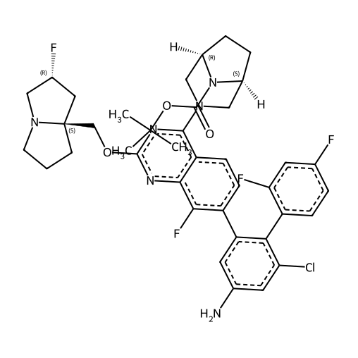 CC(C)(C)OC(=O)N1[C@@H]2CC[C@H]1CN(c1nc(OC[C@@]34CCCN3C[C@H](F)C4)nc3c(F)c(-c4cc(N)cc(Cl)c4-c4ccc(F)cc4F)ccc13)C2